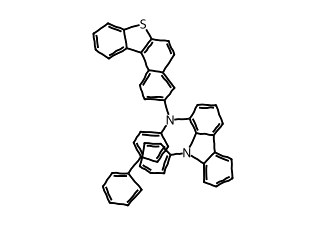 c1ccc(-c2ccc(N(c3ccc4c(ccc5sc6ccccc6c54)c3)c3cccc4c5ccccc5n(-c5ccccc5)c34)cc2)cc1